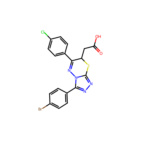 O=C(O)CC1Sc2nnc(-c3ccc(Br)cc3)n2N=C1c1ccc(Cl)cc1